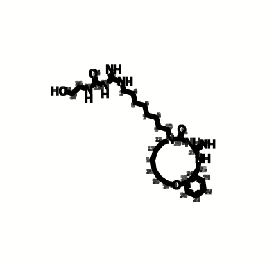 N=C(NCCCCCCCCN1CCCCCCOc2ccccc2CNC(=N)NC1=O)NC(=O)NCCO